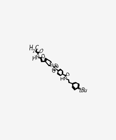 C=CC(=O)Nc1cc2c(o1)CN(S(=O)(=O)c1ccc(C(=O)NCCc3ccc(C(C)(C)C)cc3)cc1)C2